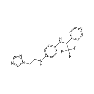 FC(F)(F)C(Nc1ccc(NCCn2cncn2)cc1)c1ccncc1